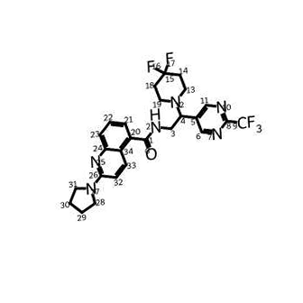 O=C(NCC(c1cnc(C(F)(F)F)nc1)N1CCC(F)(F)CC1)c1cccc2nc(N3CCCC3)ccc12